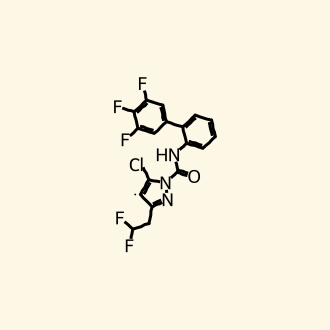 O=C(Nc1ccccc1-c1cc(F)c(F)c(F)c1)n1nc(CC(F)F)[c]c1Cl